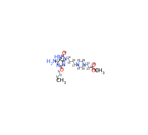 CCCCOc1nc(N)c2[nH]c(=O)n(CCCCN3CCN(CCC(=O)OC)CC3)c2n1